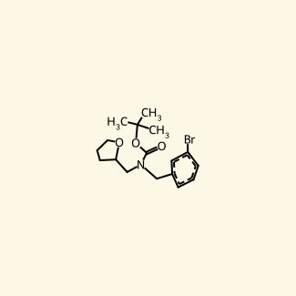 CC(C)(C)OC(=O)N(Cc1cccc(Br)c1)CC1CCCO1